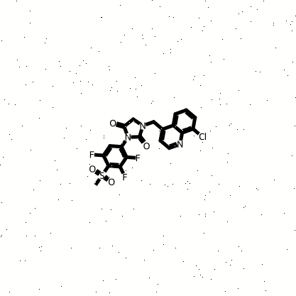 CS(=O)(=O)c1c(F)cc(N2C(=O)CN(Cc3ccnc4c(Cl)cccc34)C2=O)c(F)c1F